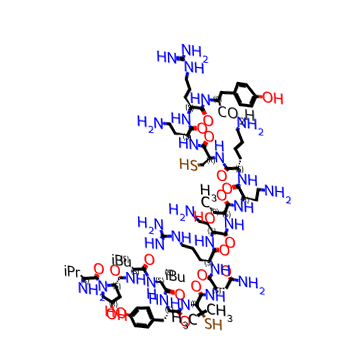 CC[C@H](C)[C@H](NC(=O)[C@@H](NC(=O)[C@@H]1C[C@@H](O)CN1C(=O)[C@@H](N)C(C)C)[C@@H](C)CC)C(=O)N[C@@H](Cc1ccc(O)cc1)C(=O)N[C@H](C(=O)N[C@@H](CC(N)=O)C(=O)N[C@@H](CCCNC(=N)N)C(=O)N[C@@H](CCN)C(=O)N[C@H](C(=O)N[C@H](CCN)C(=O)N[C@@H](CCCCN)C(=O)N[C@@H](CS)C(=O)N[C@@H](CCN)C(=O)N[C@@H](CCCNC(=N)N)C(=O)N[C@@H](Cc1ccc(O)cc1)C(=O)O)[C@@H](C)O)C(C)(C)S